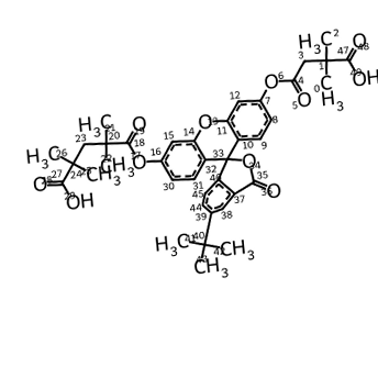 CC(C)(CC(=O)Oc1ccc2c(c1)Oc1cc(OC(=O)C(C)(C)CC(C)(C)C(=O)O)ccc1C21OC(=O)c2cc(C(C)(C)C)ccc21)C(=O)O